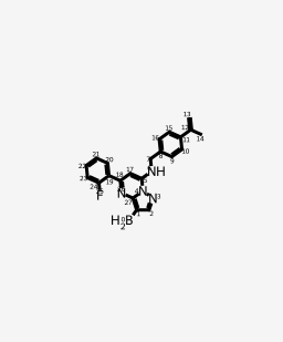 Bc1cnn2c(NCc3ccc(C(=C)C)cc3)cc(-c3ccccc3F)nc12